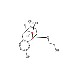 CN1CC[C@]23C[C@H](OCCO)C[C@@H](O)[C@@H]2[C@H]1Cc1ccc(O)cc13